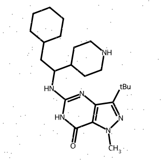 Cn1nc(C(C)(C)C)c2nc(NC(CC3CCCCC3)C3CCNCC3)[nH]c(=O)c21